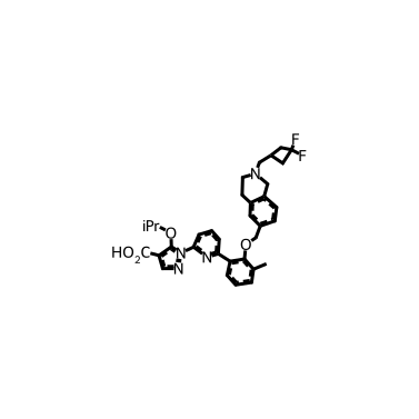 Cc1cccc(-c2cccc(-n3ncc(C(=O)O)c3OC(C)C)n2)c1OCc1ccc2c(c1)CCN(CC1CC(F)(F)C1)C2